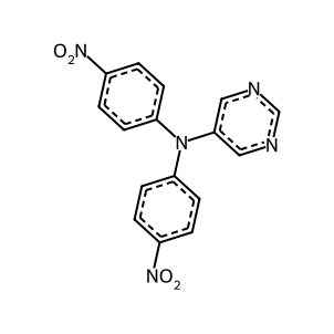 O=[N+]([O-])c1ccc(N(c2ccc([N+](=O)[O-])cc2)c2cncnc2)cc1